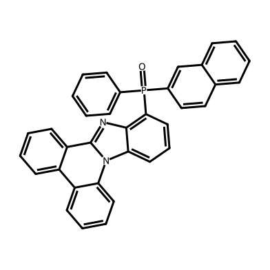 O=P(c1ccccc1)(c1ccc2ccccc2c1)c1cccc2c1nc1c3ccccc3c3ccccc3n21